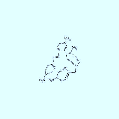 Nc1ccc(/C=C/c2ccc(N)cc2)cc1.Nc1ccc(Cc2ccc(N)cc2)cc1